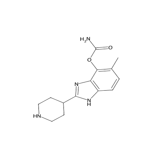 Cc1ccc2[nH]c(C3CCNCC3)nc2c1OC(N)=O